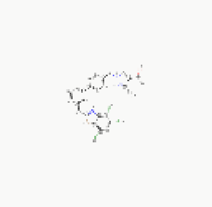 C=C(O)c1cn(Cc2ccc(-c3cccc(Cc4nc5c(F)c(F)cc(F)c5s4)c3)cc2)nc1C(F)(F)F